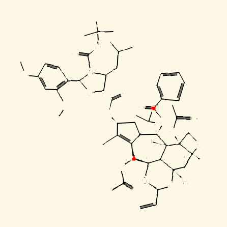 C=CC1O[C@H]2C[C@H]3OC[C@@]3(OC(C)=O)[C@H]3[C@H](OC(=O)c4ccccc4)[C@]4(C(C)(C)O)C[C@H](OC(=O)[C@@H]5OC(c6ccc(OC)cc6OC)N(C(=O)OC(C)(C)C)C5CC(C)C)C(C)=C4[C@H](OC(C)=O)[C@H](O1)[C@]23C